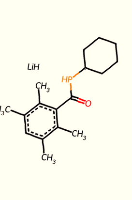 Cc1cc(C)c(C)c(C(=O)P[C]2CCCCC2)c1C.[LiH]